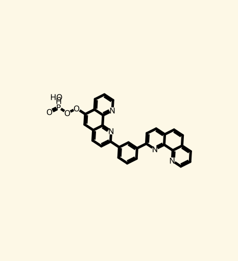 O=[PH](O)OOc1cc2ccc(-c3cccc(-c4ccc5ccc6cccnc6c5n4)c3)nc2c2ncccc12